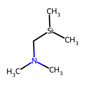 CN(C)C[Si](C)C